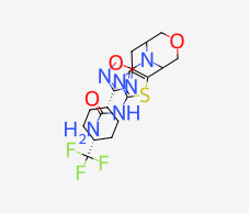 NC(=O)Nc1nc2c(s1)C1COCC(C2)N1c1nc([C@H]2CC[C@@H](C(F)(F)F)CC2)no1